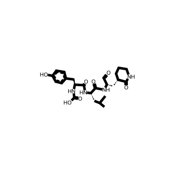 CC(C)C[C@H](NC(=O)[C@H](Cc1ccc(O)cc1)NC(=O)O)C(=O)N[C@H](C=O)C[C@@H]1CCCNC1=O